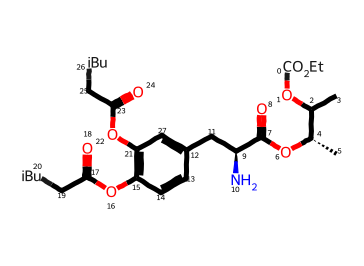 CCOC(=O)OC(C)[C@H](C)OC(=O)[C@@H](N)Cc1ccc(OC(=O)CC(C)CC)c(OC(=O)CC(C)CC)c1